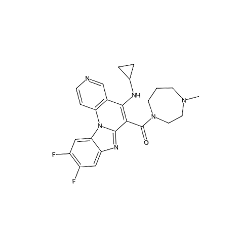 CN1CCCN(C(=O)c2c(NC3CC3)c3cnccc3n3c2nc2cc(F)c(F)cc23)CC1